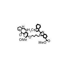 COC(=O)c1ccc2nc(-c3cn(C)c4ccccc34)n(CCCCOc3cc4c(cc3OC)C(=O)N3CCC[C@H]3C=N4)c2c1